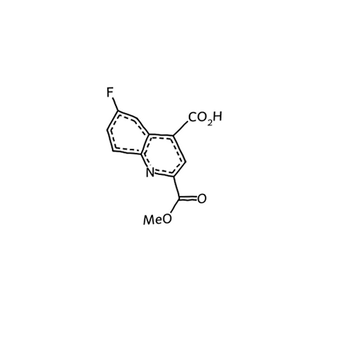 COC(=O)c1cc(C(=O)O)c2cc(F)ccc2n1